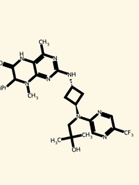 Cc1nc(N[C@H]2C[C@H](N(CC(C)(C)O)c3cnc(C(F)(F)F)cn3)C2)nc2c1NC(=O)C(C(C)C)N2C